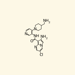 NCC1CCN(c2ccncc2NC(=O)c2c(N)cn3cc(Cl)cnc23)CC1